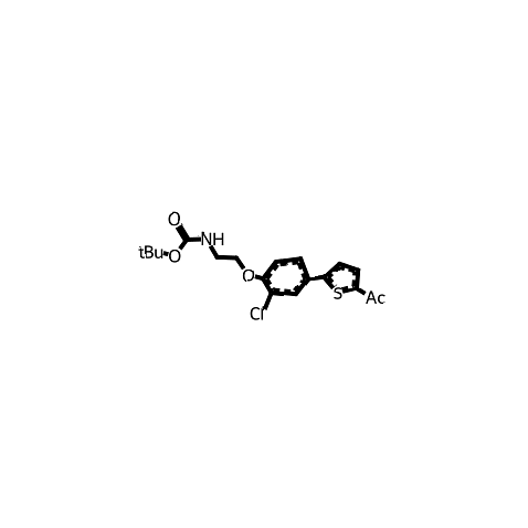 CC(=O)c1ccc(-c2ccc(OCCNC(=O)OC(C)(C)C)c(Cl)c2)s1